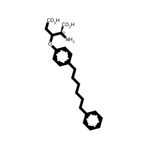 N[C@H](C(=O)O)C(CC(=O)O)Oc1ccc(CCCCCCc2ccccc2)cc1